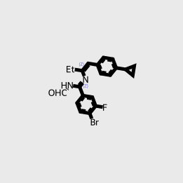 CCC(=C/c1ccc(C2CC2)cc1)/N=C(\NC=O)c1ccc(Br)c(F)c1